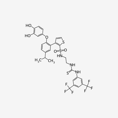 CC(C)c1ccc(Oc2ccc(O)c(O)c2)c(-c2ccsc2S(=O)(=O)NCCNC(=S)Nc2cc(C(F)(F)F)cc(C(F)(F)F)c2)c1